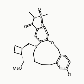 COC[C@@H]1CC[C@H]1CN1CCCCc2cc(Cl)ccc2COc2ccc(C(=O)N(C)S(C)(=O)=O)cc21